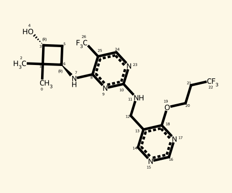 CC1(C)[C@H](O)C[C@H]1Nc1nc(NCc2cncnc2OCCC(F)(F)F)ncc1C(F)(F)F